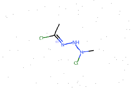 C/C(Cl)=N\NN(C)Cl